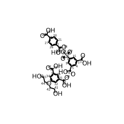 O=C(O)c1cc(C(=O)O)cc(S(=O)(=O)O)c1.O=C(O)c1ccc(C(=O)O)cc1.O=C(O)c1cccc(C(=O)O)c1.OCCOCCO